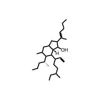 C=CC(CCC(C)CC)C1C([C@H](C)CCC)C(C)CC2CC(/C(C)=C/CCC)C(O)[C@@H]21